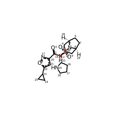 O=C(N[C@H]1C[C@H]2CC[C@@H](C1)N2S(=O)(=O)C[C@@H]1CCCN1)c1cc(C2CC2)on1